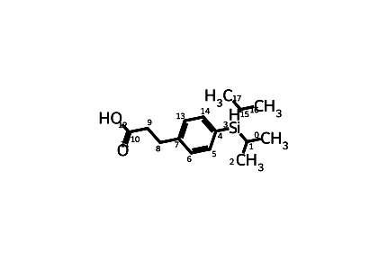 CC(C)[SiH](c1ccc(CCC(=O)O)cc1)C(C)C